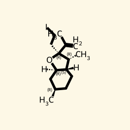 C=C(C)[C@]1(CCI)O[C@@H]2C[C@H](C)CC[C@H]2[C@H]1C